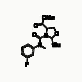 COC(=O)C1COC(C(C)(C)C)N1C(=O)N(C)c1cccc(F)c1